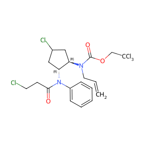 C=CCN(C(=O)OCC(Cl)(Cl)Cl)[C@@H]1CC(Cl)C[C@H]1N(C(=O)CCCl)c1ccccc1